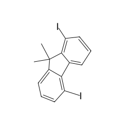 CC1(C)c2cccc(I)c2-c2cccc(I)c21